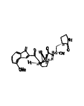 COc1cccc2[nH]c(C(=O)N3[C@@H]4CC[C@H]([C@H]3C(=O)N[C@@H](C#N)C[C@@H]3CCNC3=O)C(F)(F)C4)cc12